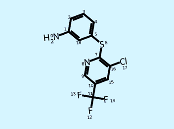 Nc1cccc(Sc2ncc(C(F)(F)F)cc2Cl)c1